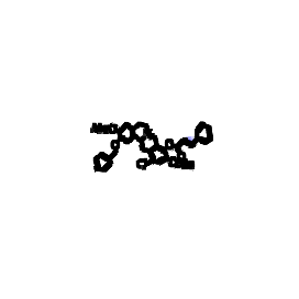 COc1cc2c(cc1OCc1ccccc1)C1Cc3c(Cl)cc(OC)c(OC(=O)/C=C/c4ccccc4)c3CN1CC2